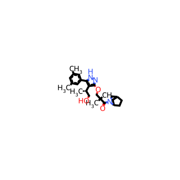 Cc1cc(C)cc(-c2[nH]nc(OCC(C)(C)C(=O)N3CC4CCC3C4)c2[C@H](C)CO)c1